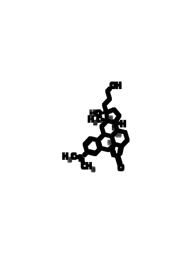 CN(C)c1ccc2c(c1)C[C@]13C=CC(=O)C=C1CC[C@@H]1C3C2C[C@@]2(C)[C@@H]1CC[C@]2(O)CCCO